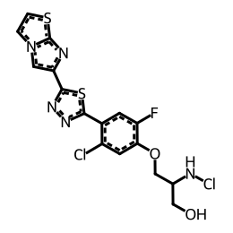 OCC(COc1cc(Cl)c(-c2nnc(-c3cn4ccsc4n3)s2)cc1F)NCl